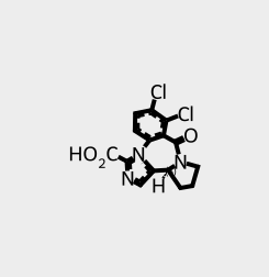 O=C(O)c1ncc2n1-c1ccc(Cl)c(Cl)c1C(=O)N1CCC[C@@H]21